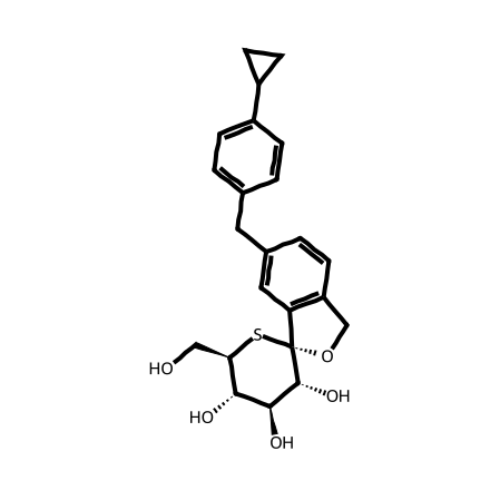 OC[C@H]1S[C@]2(OCc3ccc(Cc4ccc(C5CC5)cc4)cc32)[C@H](O)[C@@H](O)[C@@H]1O